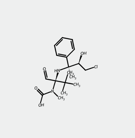 CN(C(=O)O)[C@@](C=O)(N[C@@](C)(c1ccccc1)[C@@H](O)CCl)C(C)(C)C